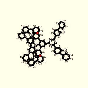 c1ccc(-c2cc3c4cc(-c5ccccc5)c(-n5c6ccccc6c6ccccc65)cc4n(-c4c(-c5ccccc5)cc(-c5nc(-c6ccc7c(c6)oc6ccccc67)nc(-c6ccc7c(c6)oc6ccccc67)n5)cc4-c4ccccc4)c3cc2-n2c3ccccc3c3ccccc32)cc1